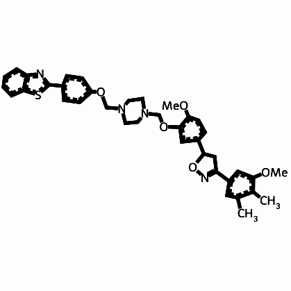 COc1ccc(C2CC(c3cc(C)c(C)c(OC)c3)=NO2)cc1OCN1CCN(COc2ccc(-c3nc4ccccc4s3)cc2)CC1